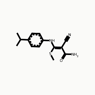 CS/C(Nc1ccc(C(C)C)cc1)=C(/C#N)C(N)=O